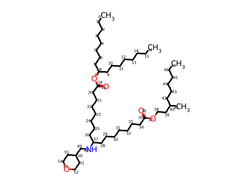 CCCCCCCCC(CCCCCCCC)OC(=O)CCCCCCCC(CCCCCCCC(=O)OCCC(C)CCCCCC)NCC1CCOCC1